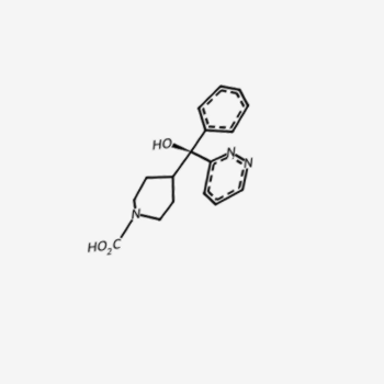 O=C(O)N1CCC([C@](O)(c2ccccc2)c2cccnn2)CC1